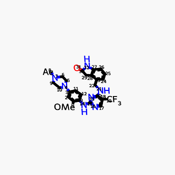 COc1cc(N2CCN(C(C)=O)CC2)ccc1Nc1ncc(C(F)(F)F)c(NCc2cccc3c2CC(=O)N3)n1